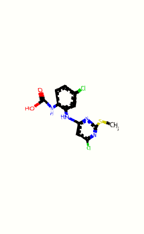 CSc1nc(Cl)cc(Nc2cc(Cl)ccc2NC(=O)O)n1